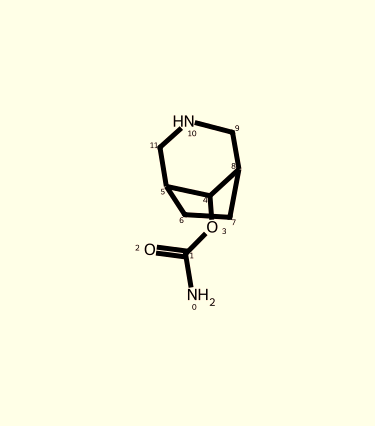 NC(=O)OC1C2CCC1CNC2